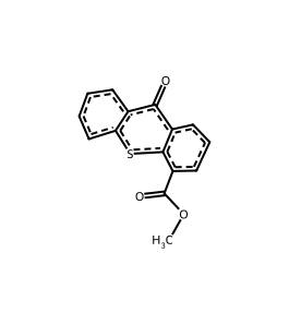 COC(=O)c1cccc2c(=O)c3ccccc3sc12